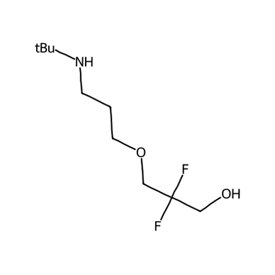 CC(C)(C)NCCCOCC(F)(F)CO